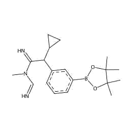 CN(C=N)C(=N)C(c1cccc(B2OC(C)(C)C(C)(C)O2)c1)C1CC1